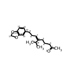 CC(=O)CCC/C(=C/CCc1ccc2c(c1)OCO2)C(C)C